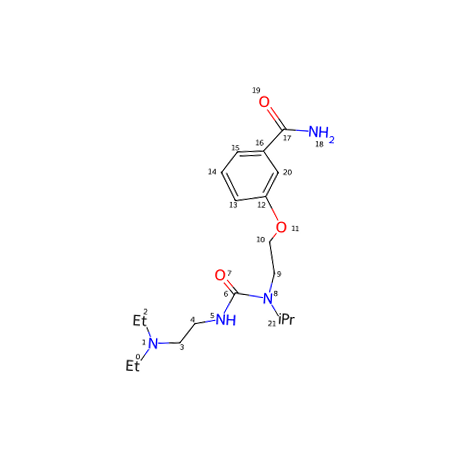 CCN(CC)CCNC(=O)N(CCOc1cccc(C(N)=O)c1)C(C)C